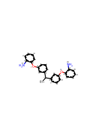 CCC(c1cccc(Oc2ccccc2N)c1)c1cccc(Oc2ccccc2N)c1